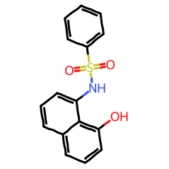 O=S(=O)(Nc1cccc2cccc(O)c12)c1ccccc1